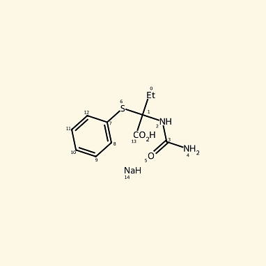 CCC(NC(N)=O)(Sc1ccccc1)C(=O)O.[NaH]